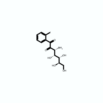 N[C@@H](C(=O)C(=O)c1ccccc1I)[C@@H](O)[C@H](O)[C@H](O)CO